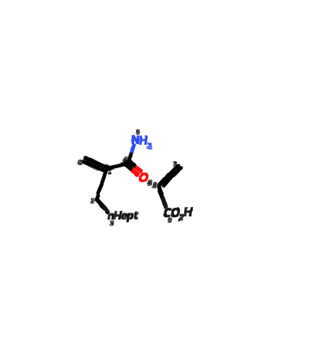 C=C(CCCCCCCC)C(N)=O.C=CC(=O)O